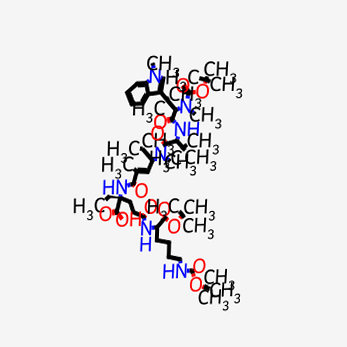 CC[C@](CCC(=O)NC(CCCCNC(=O)OC(C)(C)C)C(=O)OC(C)(C)C)(NC(=O)/C(C)=C/C(C(C)C)N(C)C(=O)C(NC(=O)C(N(C)C(=O)OC(C)(C)C)C(C)(C)c1cn(C)c2ccccc12)C(C)(C)C)C(=O)O